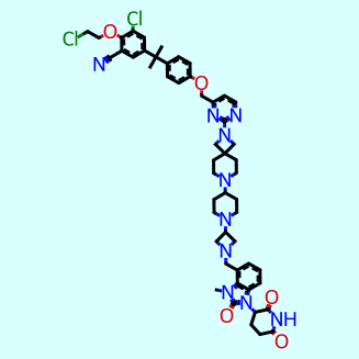 Cn1c(=O)n(C2CCC(=O)NC2=O)c2cccc(CN3CC(N4CCC(N5CCC6(CC5)CN(c5nccc(COc7ccc(C(C)(C)c8cc(Cl)c(OCCCl)c(C#N)c8)cc7)n5)C6)CC4)C3)c21